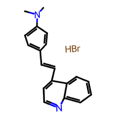 Br.CN(C)c1ccc(C=Cc2ccnc3ccccc23)cc1